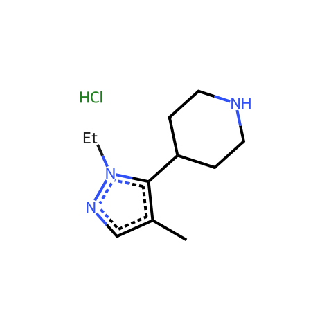 CCn1ncc(C)c1C1CCNCC1.Cl